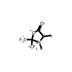 CC1C(=O)OC(C(F)(F)F)(C(F)(F)F)N1C